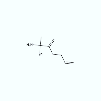 C=CCCC(=C)C(C)(N)C(C)C